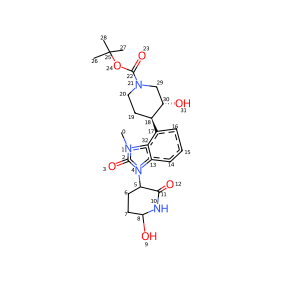 Cn1c(=O)n(C2CCC(O)NC2=O)c2cccc([C@H]3CCN(C(=O)OC(C)(C)C)C[C@@H]3O)c21